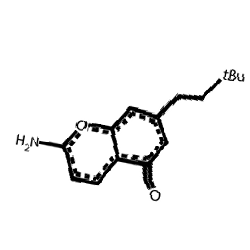 CC(C)(C)CCc1cc2oc(N)ccc-2c(=O)c1